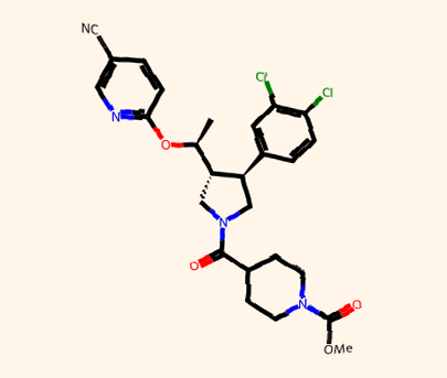 COC(=O)N1CCC(C(=O)N2C[C@H]([C@H](C)Oc3ccc(C#N)cn3)[C@@H](c3ccc(Cl)c(Cl)c3)C2)CC1